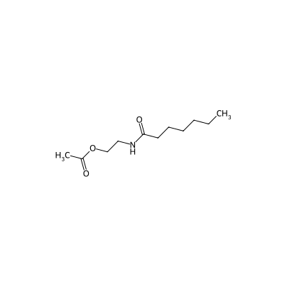 CCCCCCC(=O)NCCOC(C)=O